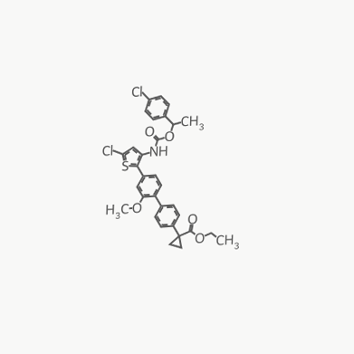 CCOC(=O)C1(c2ccc(-c3ccc(-c4sc(Cl)cc4NC(=O)OC(C)c4ccc(Cl)cc4)cc3OC)cc2)CC1